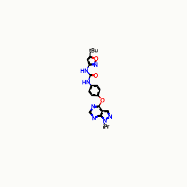 CC(C)n1ncc2c(Oc3ccc(NC(=O)Nc4cc(C(C)(C)C)on4)cc3)ncnc21